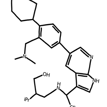 CC(C)C(CO)CNC(c1c[nH]c2ncc(-c3ccc(C4CCOCC4)c(CN(C)C)c3)cc12)C(F)(F)F